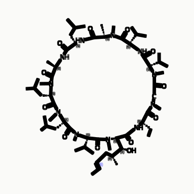 C/C=C/C[C@@H](C)[C@@H](O)[C@H]1C(=O)N[C@@H](CC)C(=O)N(C)CC(=O)N(C)[C@@H](C(C)C)C(=O)N[C@@H](C(C)C)C(=O)N(C)[C@@H](C)C(=O)N[C@@H](CC(C)C)C(=O)N[C@H](C)C(=O)N(C)[C@@H](CC(C)C)C(=O)N(C)[C@@H](CC(C)C)C(=O)N(C)[C@@H](C(C)C)C(=O)N1C